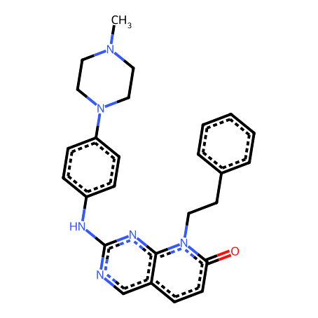 CN1CCN(c2ccc(Nc3ncc4ccc(=O)n(CCc5ccccc5)c4n3)cc2)CC1